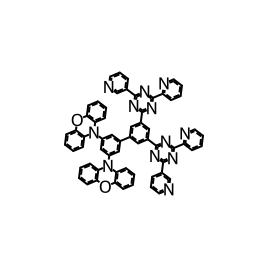 c1ccc(-c2nc(-c3cccnc3)nc(-c3cc(-c4cc(N5c6ccccc6Oc6ccccc65)cc(N5c6ccccc6Oc6ccccc65)c4)cc(-c4nc(-c5cccnc5)nc(-c5ccccn5)n4)c3)n2)nc1